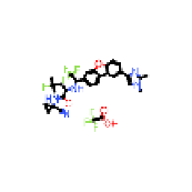 Cc1nc(-c2ccc3oc4cc(C(NC(CC(C)(C)F)C(=O)NC5(C#N)CC5)C(F)(F)F)ccc4c3c2)cn1C.O=C(O)C(F)(F)F